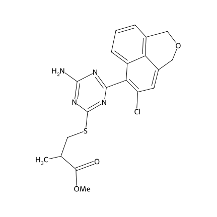 COC(=O)C(C)CSc1nc(N)nc(-c2c(Cl)cc3c4c(cccc24)COC3)n1